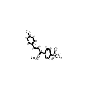 CS(=O)(=O)c1ccc(C(=O)/C=C/c2ccc(Cl)cc2)cc1.Cl